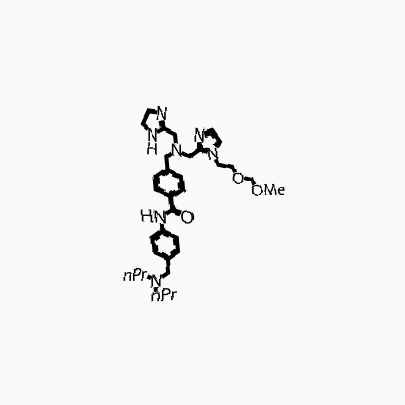 CCCN(CCC)Cc1ccc(NC(=O)c2ccc(CN(CC3=NCCN3)Cc3nccn3CCOCOC)cc2)cc1